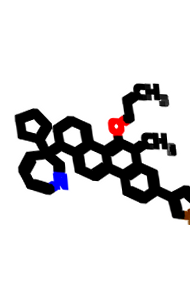 CCCOC1=c2c(ccc3c2=CCCC3C2(C3CCCC3)C=CC=CN=C2)-c2ccc(-c3ccsc3)cc2C1C